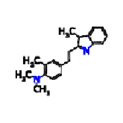 Cc1cc(C=CC2=Nc3ccccc3C2C)ccc1N(C)C